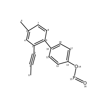 CC#Cc1cc(C)ccc1-c1ccc(OP=O)cc1